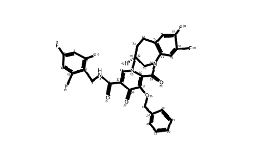 O=C(NCc1c(F)cc(F)cc1F)c1cn2c(c(OCc3ccccc3)c1=O)C(=O)N1C[C@@H]2CCc2cc(F)c(F)cc21